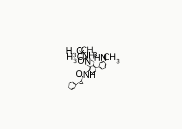 CNc1cccc(-c2ccc(CNC(=O)C3CC3C3=CCCC=C3)c3c2CCN(C(=O)NC(C)(C)C)C3)c1